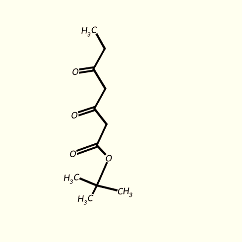 CCC(=O)CC(=O)CC(=O)OC(C)(C)C